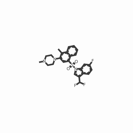 Cc1c(N2CCN(C)CC2)cc(S(=O)(=O)n2cc(C(F)F)c3ccc(F)cc32)c2ccccc12